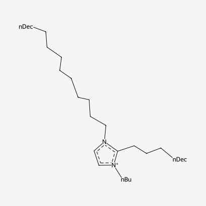 CCCCCCCCCCCCCCCCCCCn1cc[n+](CCCC)c1CCCCCCCCCCCCC